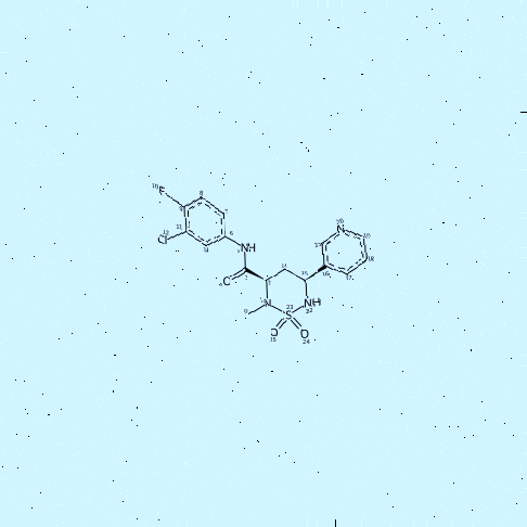 CN1[C@@H](C(=O)Nc2ccc(F)c(Cl)c2)C[C@@H](c2cccnc2)NS1(=O)=O